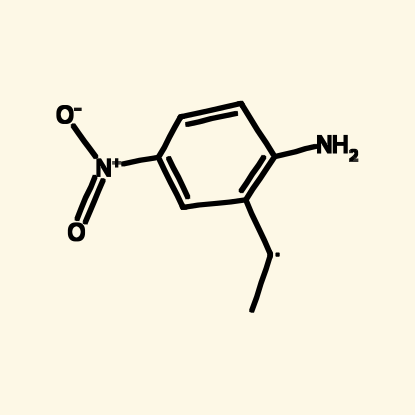 C[CH]c1cc([N+](=O)[O-])ccc1N